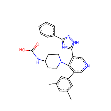 Cc1cc(C)cc(-c2cncc(-c3nc(-c4ccccc4)n[nH]3)c2N2CCC(NC(=O)O)CC2)c1